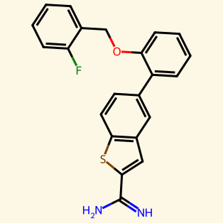 N=C(N)c1cc2cc(-c3ccccc3OCc3ccccc3F)ccc2s1